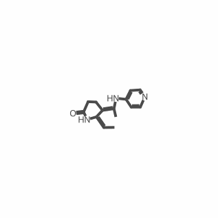 C/C=C1/NC(=O)CC/C1=C(/C)Nc1ccncc1